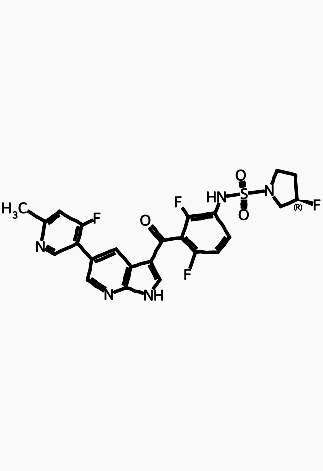 Cc1cc(F)c(-c2cnc3[nH]cc(C(=O)c4c(F)ccc(NS(=O)(=O)N5CC[C@@H](F)C5)c4F)c3c2)cn1